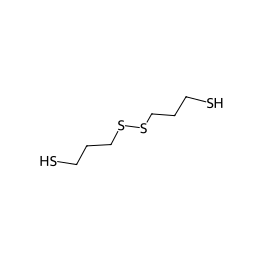 SCCCSSCCCS